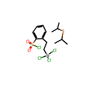 CC(C)SC(C)C.O=S(=O)(Cl)c1ccccc1CC[Si](Cl)(Cl)Cl